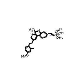 CCO[PH](O)(/C=C/c1ccc2c(c1)nc(N)c1ncc(CCc3ccc(OC)cc3C)cc12)OCC